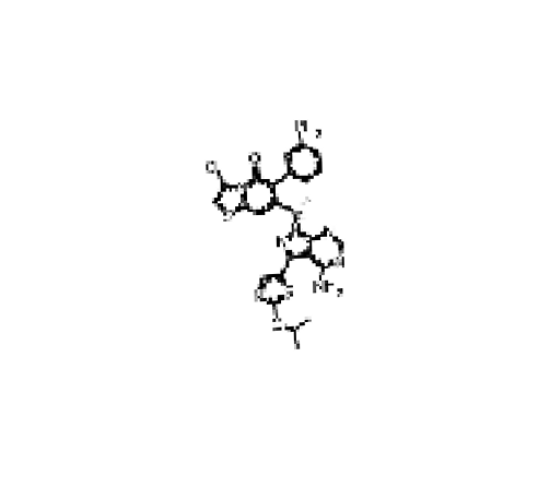 CC(C)Oc1ncc(-c2nn([C@@H](C)c3cc4scc(Cl)n4c(=O)c3-c3cccc(P)c3)c3ncnc(N)c23)s1